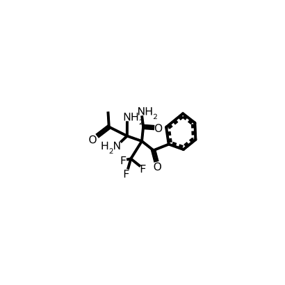 CC(=O)C(N)(N)C(C(N)=O)(C(=O)c1ccccc1)C(F)(F)F